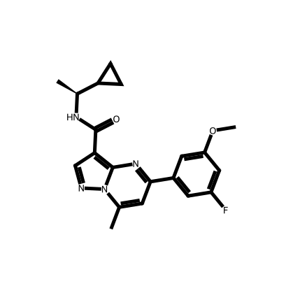 COc1cc(F)cc(-c2cc(C)n3ncc(C(=O)N[C@@H](C)C4CC4)c3n2)c1